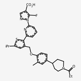 CCC(=O)N1CCC(c2ccc(OCc3cc(C(C)C)sc3-c3cccc(-n4ncc(C(=O)O)c4F)n3)c(C)c2)CC1